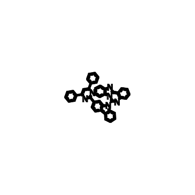 c1ccc(-c2cc(-c3ccccc3)nc(-c3ccc4c5ccccc5n(-c5nc6ccccc6c6nc7ccccc7n56)c4c3)n2)cc1